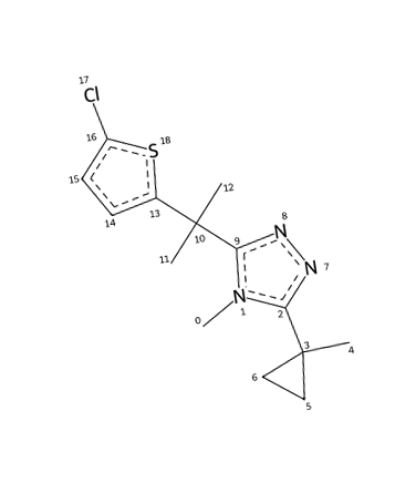 Cn1c(C2(C)CC2)nnc1C(C)(C)c1ccc(Cl)s1